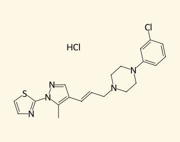 Cc1c(/C=C/CN2CCN(c3cccc(Cl)c3)CC2)cnn1-c1nccs1.Cl